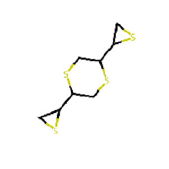 C1SC1C1CSC(C2CS2)CS1